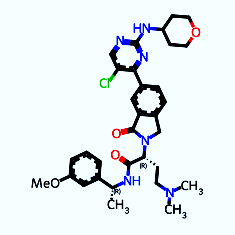 COc1cccc([C@@H](C)NC(=O)[C@@H](CCN(C)C)N2Cc3ccc(-c4nc(NC5CCOCC5)ncc4Cl)cc3C2=O)c1